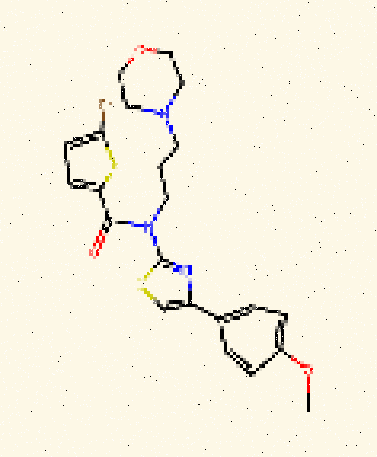 COc1ccc(-c2csc(N(CCCN3CCOCC3)C(=O)c3ccc(Br)s3)n2)cc1